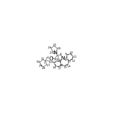 CC1(COCC(CN2c3ccccc3C=Cc3ccccc32)N2CCCC2)CCCCC1